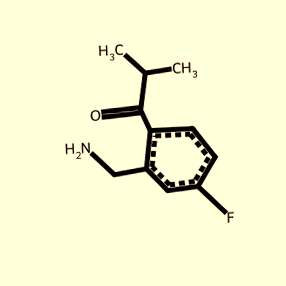 CC(C)C(=O)c1ccc(F)cc1CN